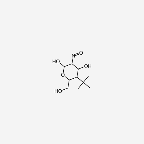 CC(C)(C)C1C(CO)OC(O)C(N=O)C1O